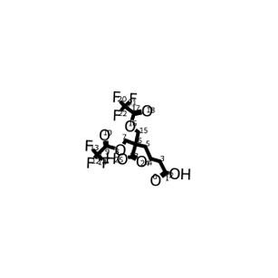 O=C(O)CCCC(COC(=O)C(F)(F)F)(COC(=O)C(F)(F)F)C(=O)O